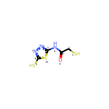 O=C(CS)Nc1nnc(S)s1